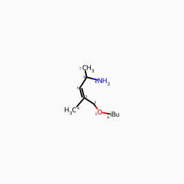 CCC(C)OC/C(C)=C\C(C)N